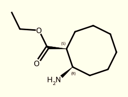 CCOC(=O)[C@H]1CCCCCC[C@H]1N